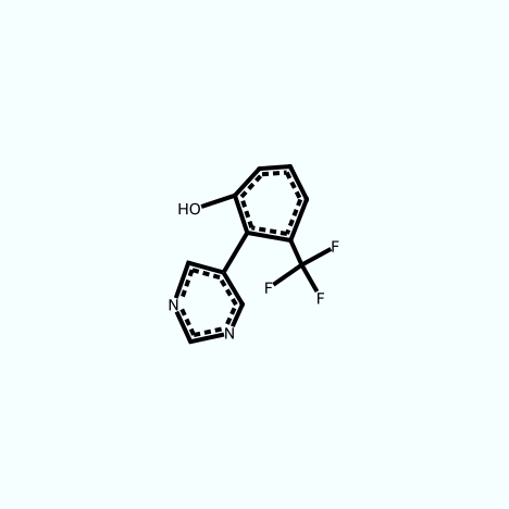 Oc1cccc(C(F)(F)F)c1-c1cncnc1